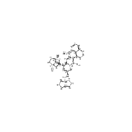 COc1cccc2cccc(-c3ncc4c(N5C[C@H]6CC[C@@H](C5)N6)nc(OCC56CCCN5CCC6)nc4c3F)c12